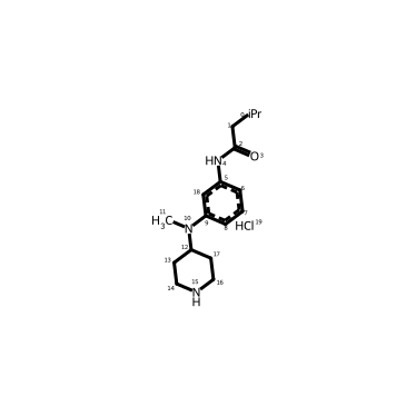 CC(C)CC(=O)Nc1cccc(N(C)C2CCNCC2)c1.Cl